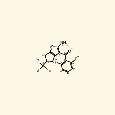 Nc1sc2c(c1C(=O)c1c(F)cccc1F)CC(C(F)(F)F)C2